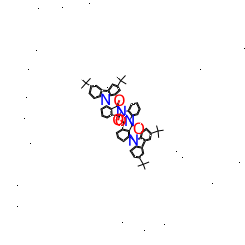 CC(C)(C)c1ccc2c(c1)c1cc(C(C)(C)C)ccc1n2-c1cccc2c1C(=O)N(c1ccccc1N1C(=O)c3cccc(-n4c5ccc(C(C)(C)C)cc5c5cc(C(C)(C)C)ccc54)c3C1=O)C2=O